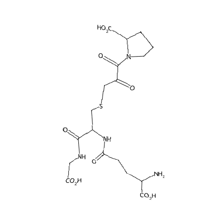 NC(CCC(=O)NC(CSCC(=O)C(=O)N1CCCC1C(=O)O)C(=O)NCC(=O)O)C(=O)O